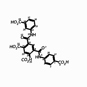 O=C(O)c1ccc(NC(=O)c2cc(C(=O)Nc3cccc(C(=O)O)c3)c(C(=O)O)cc2C(=O)O)cc1